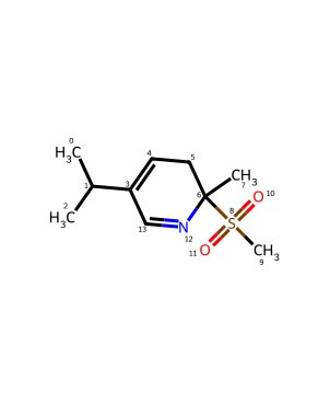 CC(C)C1=CCC(C)(S(C)(=O)=O)N=C1